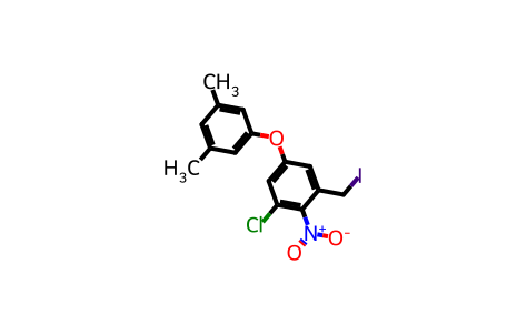 Cc1cc(C)cc(Oc2cc(Cl)c([N+](=O)[O-])c(CI)c2)c1